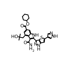 CC(C)(O)Cc1cc(C(=O)OC2CCCCC2)cc2[nH]c(-c3n[nH]c4cc(-c5cn[nH]c5)sc34)c(C(N)=O)c12